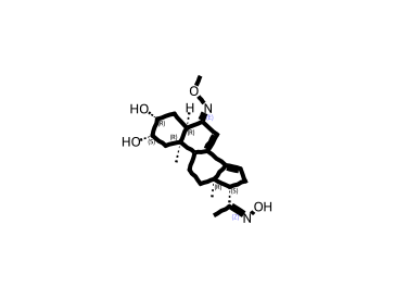 CO/N=C1/C=C2C3=CC[C@H](/C(C)=N\O)[C@@]3(C)CCC2[C@@]2(C)C[C@H](O)[C@H](O)C[C@@H]12